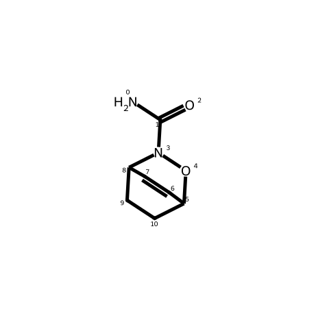 NC(=O)N1OC2C=CC1CC2